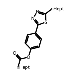 CCCCCCCC(=O)Oc1ccc(-c2nnc(CCCCCCC)s2)cc1